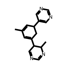 CC1=CC(c2cncnc2)CC(C2C=NC=NC2C)=C1